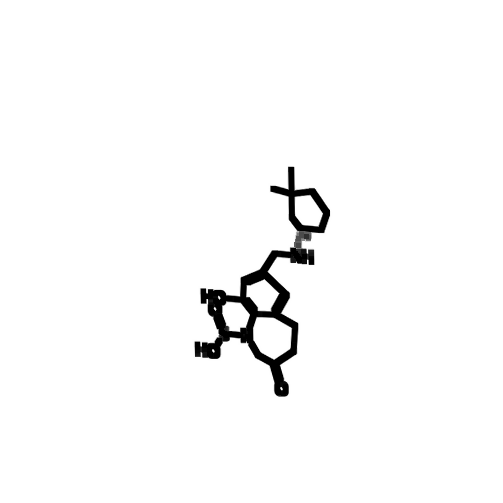 CC1(C)CCC[C@H](NCc2cc(O)c3c(c2)CCC(=O)CN3S(=O)O)C1